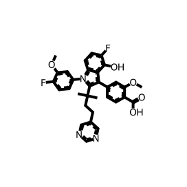 COc1cc(-n2c(C(C)(C)CCc3cncnc3)c(-c3ccc(C(=O)O)c(OC)c3)c3c(O)c(F)ccc32)ccc1F